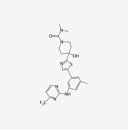 Cc1cc(Nc2nccc(C(F)(F)F)n2)cc(-c2cnc(C3(O)CCN(C(=O)N(C)C)CC3)s2)c1